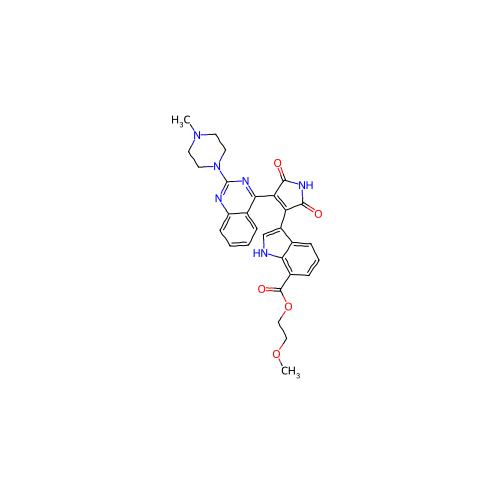 COCCOC(=O)c1cccc2c(C3=C(c4nc(N5CCN(C)CC5)nc5ccccc45)C(=O)NC3=O)c[nH]c12